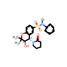 CCN(c1ccccc1)S(=O)(=O)c1ccc2c(c1)[C@H](N1CCCCC1=O)[C@@H](O)C(C)(C)O2